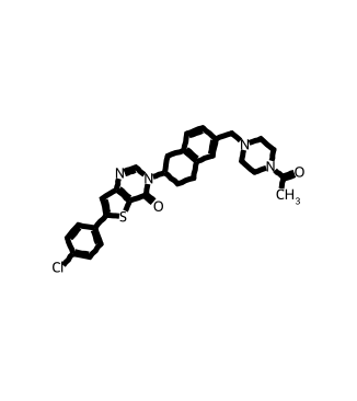 CC(=O)N1CCN(Cc2ccc3c(c2)CCC(n2cnc4cc(-c5ccc(Cl)cc5)sc4c2=O)C3)CC1